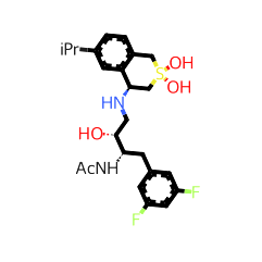 CC(=O)N[C@@H](Cc1cc(F)cc(F)c1)[C@H](O)CN[C@@H]1CS(O)(O)Cc2ccc(C(C)C)cc21